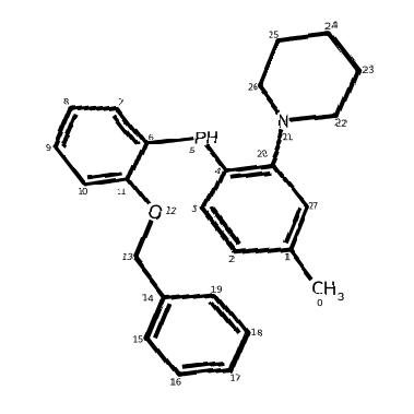 Cc1ccc(Pc2ccccc2OCc2ccccc2)c(N2CCCCC2)c1